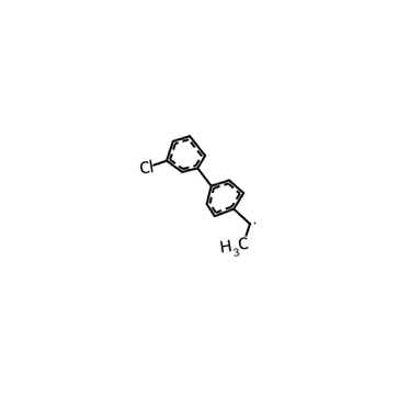 C[CH]c1ccc(-c2cccc(Cl)c2)cc1